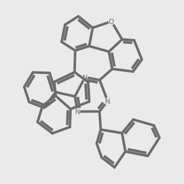 c1ccc(-c2nc(-c3cccc4ccccc34)nc(-c3cccc4oc5cccc(-c6ccc7ccccc7c6)c5c34)n2)cc1